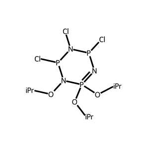 CC(C)ON1P(Cl)N(Cl)P(Cl)N=P1(OC(C)C)OC(C)C